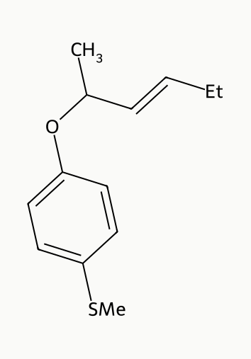 CCC=CC(C)Oc1ccc(SC)cc1